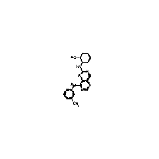 Cc1cccc(Nc2ncnc3cnc(NC4CCCCC4O)nc23)c1